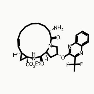 CCOC(=O)[C@@]12C[C@H]1C=CCCCCC[C@H](N)C(=O)N1C[C@H](Oc3nc4ccccc4nc3C(C)(F)F)C[C@H]1C(=O)N2